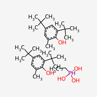 CC[PH](O)(O)O.Cc1cc(C(C)(C)C)cc(C(C)(C)C)c1O.Cc1cc(C(C)(C)C)cc(C(C)(C)C)c1O